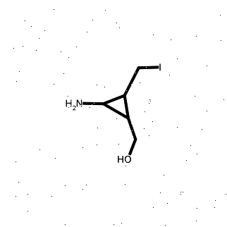 NC1C(CO)C1CI